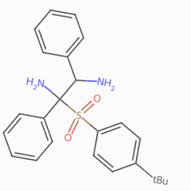 CC(C)(C)c1ccc(S(=O)(=O)C(N)(c2ccccc2)C(N)c2ccccc2)cc1